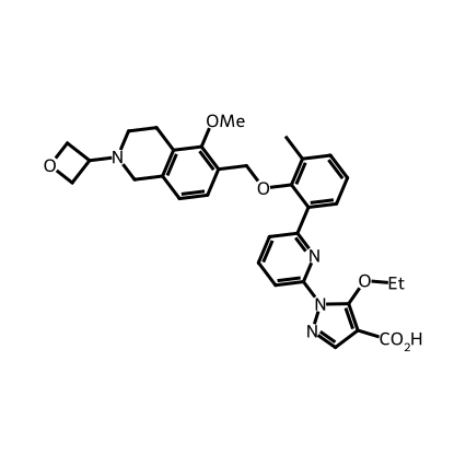 CCOc1c(C(=O)O)cnn1-c1cccc(-c2cccc(C)c2OCc2ccc3c(c2OC)CCN(C2COC2)C3)n1